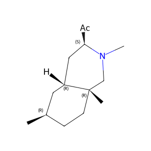 CC(=O)[C@@H]1C[C@H]2C[C@H](C)CC[C@@]2(C)CN1C